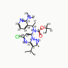 CC(C)c1cnn2c(N(C(=O)OC(C)(C)C)C(C)c3cccnc3N(C)C)cc(Cl)nc12